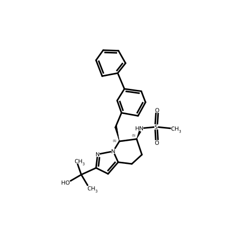 CC(C)(O)c1cc2n(n1)[C@@H](Cc1cccc(-c3ccccc3)c1)[C@@H](NS(C)(=O)=O)CC2